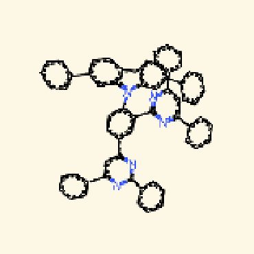 c1ccc(-c2ccc3c4ccc(-c5ccccc5)cc4n(-c4ccc(-c5cc(-c6ccccc6)nc(-c6ccccc6)n5)cc4-c4nc(-c5ccccc5)cc(-c5ccccc5)n4)c3c2)cc1